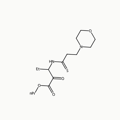 CCCOC(=O)C(=O)C(CC)NC(=S)CCN1CCOCC1